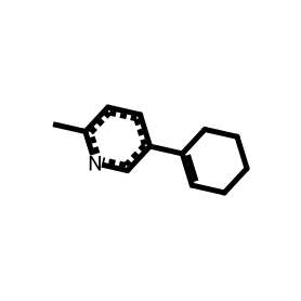 Cc1ccc(C2=CCCCC2)cn1